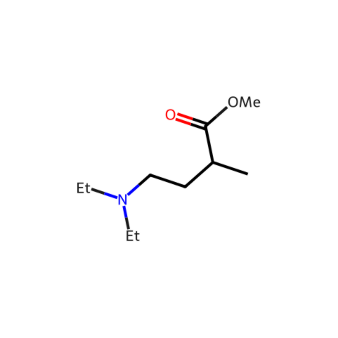 CCN(CC)CCC(C)C(=O)OC